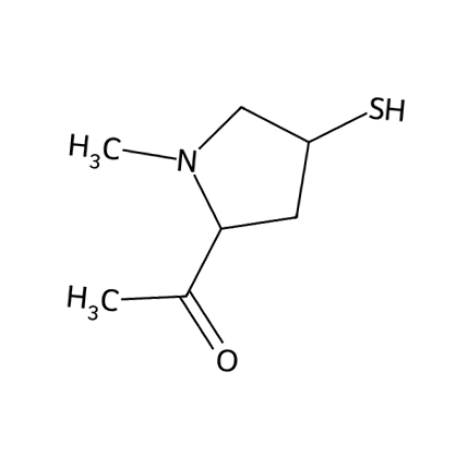 CC(=O)C1CC(S)CN1C